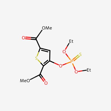 CCOP(=S)(OCC)Oc1cc(C(=O)OC)sc1C(=O)OC